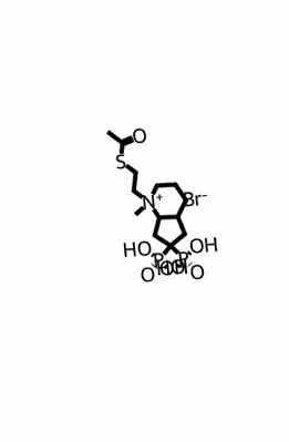 CC(=O)SCC[N+]1(C)CCCC2CC(P(=O)(O)O)(P(=O)(O)O)CC21.[Br-]